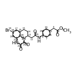 COC(=O)Cc1ccc(NC(=O)CC2CCc3cc(Br)cc4[nH]c(=O)c(=O)n2c34)cc1